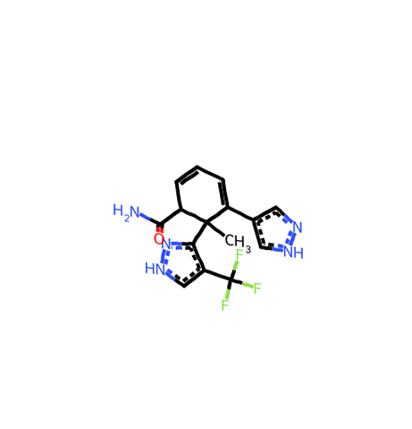 CC1(c2n[nH]cc2C(F)(F)F)C(c2cn[nH]c2)=CC=CC1C(N)=O